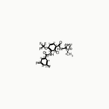 Cn1nnnc1NC(=O)c1ccc(OC(F)(F)F)c(NC(=O)c2cc(F)cc(F)c2)c1Cl